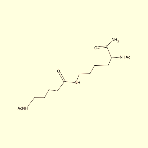 CC(=O)NCCCCC(=O)NCCCCC(NC(C)=O)C(N)=O